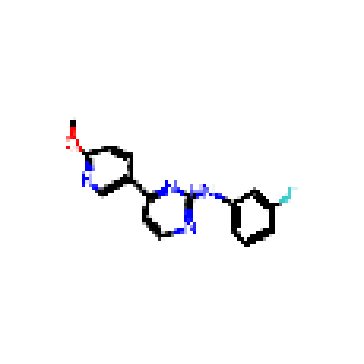 COc1ccc(-c2ccnc(Nc3cccc(F)c3)n2)cn1